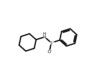 [O-][S+](NC1CCCCC1)c1ccccc1